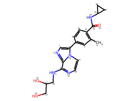 Cc1cc(-c2cnc3c(NCC(O)CO)nccn23)ccc1C(=O)NC1CC1